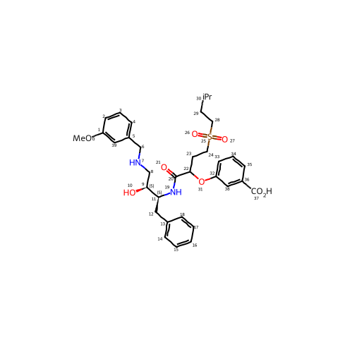 COc1cccc(CNC[C@H](O)[C@H](Cc2ccccc2)NC(=O)C(CCS(=O)(=O)CCC(C)C)Oc2cccc(C(=O)O)c2)c1